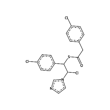 O=C(Cc1ccc(Cl)cc1)SC(c1ccc(Cl)cc1)C(Cl)n1ccnc1